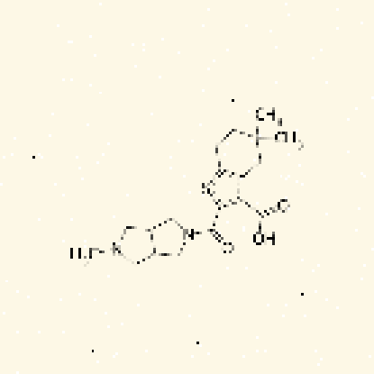 CN1CC2CN(C(=O)c3sc4c(c3C(=O)O)CC(C)(C)CC4)CC2C1